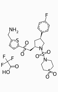 NCc1ccc(S(=O)(=O)C[C@H]2C[C@@H](c3ccc(F)cc3)CN2S(=O)(=O)N2CCS(=O)(=O)CC2)s1.O=C(O)C(F)(F)F